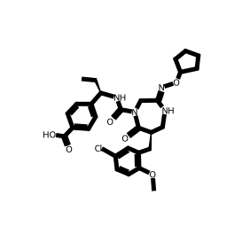 CC[C@@H](NC(=O)N1C/C(=N/OC2CCCC2)NC[C@@H](Cc2cc(Cl)ccc2OC)C1=O)c1ccc(C(=O)O)cc1